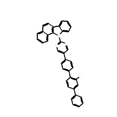 Cc1cc(-c2ccccc2)ccc1-c1ccc(-c2cnc(-n3c4ccccc4c4ccc5ccccc5c43)nc2)cc1